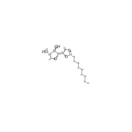 CCCCCCCCCC1OC[C@H]([C@H]2OC[C@H](O)[C@H]2O)O1